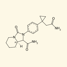 NC(=O)CC1(c2ccc(N3C(=O)N4CCC[CH][C@@H]4C3C(N)=O)cc2)CC1